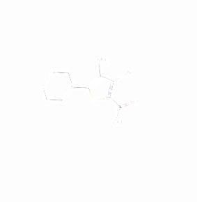 Nc1c(N2CCOCC2)sc(C(=O)O)c1Br